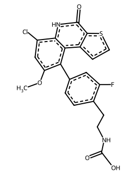 COc1cc(Cl)c2[nH]c(=O)c3sccc3c2c1-c1ccc(CCNC(=O)O)c(F)c1